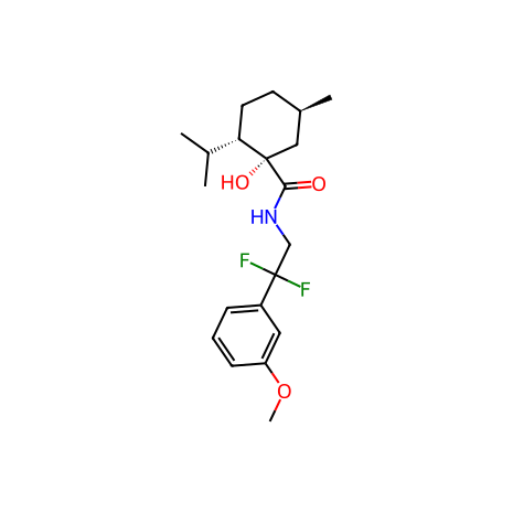 COc1cccc(C(F)(F)CNC(=O)[C@]2(O)C[C@H](C)CC[C@H]2C(C)C)c1